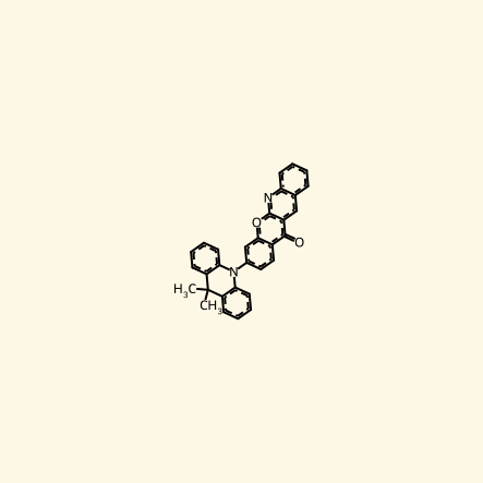 CC1(C)c2ccccc2N(c2ccc3c(=O)c4cc5ccccc5nc4oc3c2)c2ccccc21